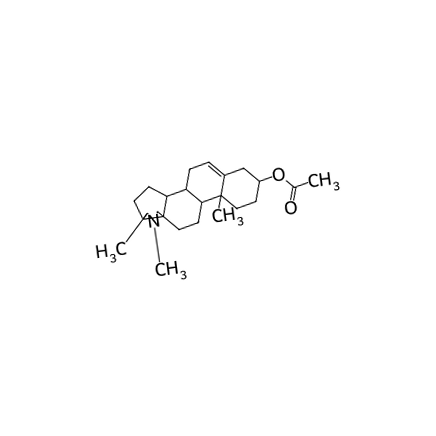 CC(=O)OC1CCC2(C)C(=CCC3C2CCC24CN(C)C(C)C2CCC34)C1